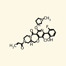 C=CC(=O)N1CCN2C(=O)c3c(O[C@@H]4CCN(C)C4)nc(-c4c(O)cccc4F)c(Cl)c3OC[C@H]2C1